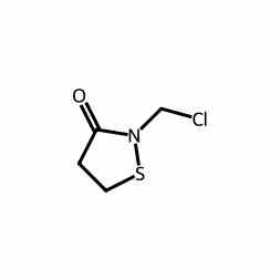 O=C1CCSN1CCl